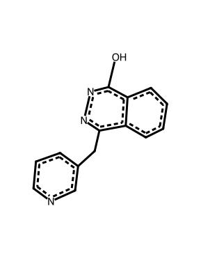 Oc1nnc(Cc2cccnc2)c2ccccc12